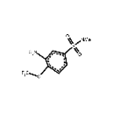 CNS(=O)(=O)c1ccc(OC(F)(F)F)c([N+](=O)[O-])c1